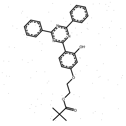 CC(C)(C)C(=O)OCCOc1ccc(-c2nc(-c3ccccc3)nc(-c3ccccc3)n2)c(O)c1